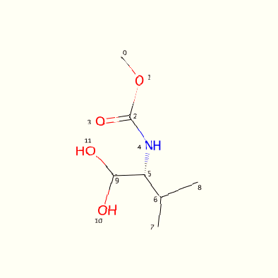 COC(=O)N[C@H](C(C)C)C(O)O